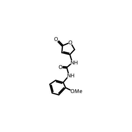 COc1ccccc1NC(=O)NC1=CC(=O)OC1